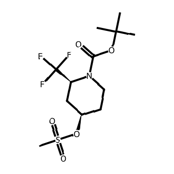 CC(C)(C)OC(=O)N1CC[C@@H](OS(C)(=O)=O)C[C@H]1C(F)(F)F